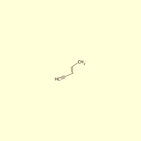 C#CC=C[CH2]